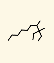 CCCCCCC(C)C(C)(CC)CC